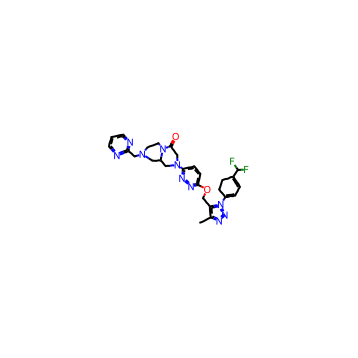 Cc1nnn(C2=CC=C(C(F)F)CC2)c1COc1ccc(N2CC(=O)N3CCN(Cc4ncccn4)CC3C2)nn1